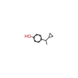 CC(c1ccc(O)cc1)C1CC1